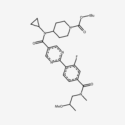 COC(C)CN(C)C(=O)c1ccc(-c2ncc(C(=O)N(C3CC3)C3CCN(C(=O)OC(C)(C)C)CC3)cn2)c(F)c1